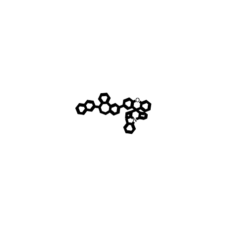 c1ccc2c(c1)Oc1ccc(-c3ccc4c(c3)-c3ccccc3C(c3ccc5ccccc5c3)CC4)cc1C21c2ccccc2-n2c3ccccc3c3cccc1c32